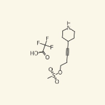 CS(=O)(=O)OCCC#CC1CCNCC1.O=C(O)C(F)(F)F